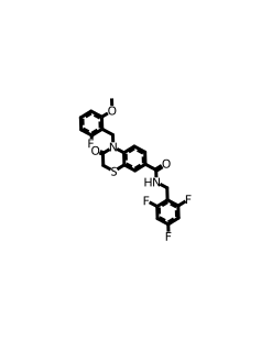 COc1cccc(F)c1CN1C(=O)CSc2cc(C(=O)NCc3c(F)cc(F)cc3F)ccc21